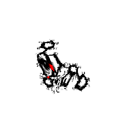 CC1=Cc2c(-c3ccccc3)cccc2[CH]1[Zr](=[SiH2])([c]1ccccc1)([c]1ccccc1)[CH]1C(C)=Cc2c(-c3ccccc3)cccc21